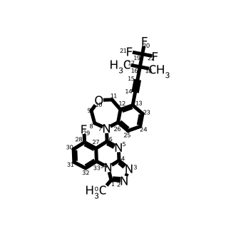 Cc1nnc2nc(N3CCOCc4c(C#CC(C)(C)C(F)(F)F)cccc43)c3c(F)cccc3n12